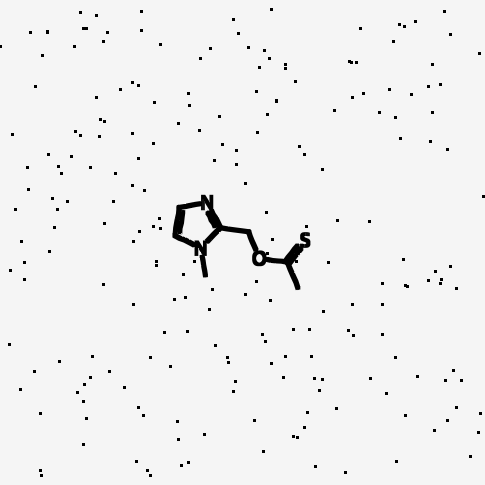 CC(=S)OCc1nccn1C